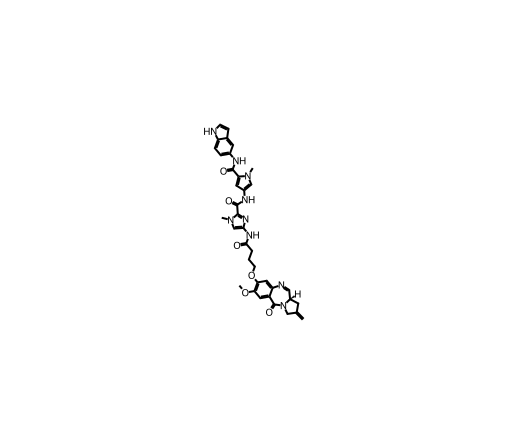 C=C1C[C@H]2C=Nc3cc(OCCCC(=O)Nc4cn(C)c(C(=O)Nc5cc(C(=O)Nc6ccc7[nH]ccc7c6)n(C)c5)n4)c(OC)cc3C(=O)N2C1